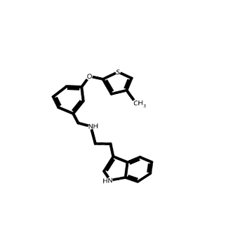 Cc1csc(Oc2cccc(CNCCc3c[nH]c4ccccc34)c2)c1